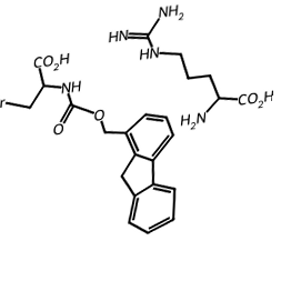 CC(C)CC(NC(=O)OCc1cccc2c1Cc1ccccc1-2)C(=O)O.N=C(N)NCCCC(N)C(=O)O